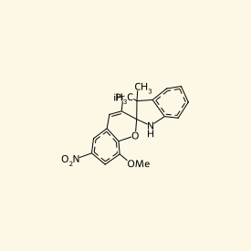 COc1cc([N+](=O)[O-])cc2c1OC1(Nc3ccccc3C1(C)C)C(C(C)C)=C2